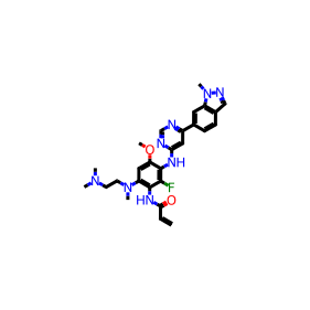 C=CC(=O)Nc1c(N(C)CCN(C)C)cc(OC)c(Nc2cc(-c3ccc4cnn(C)c4c3)ncn2)c1F